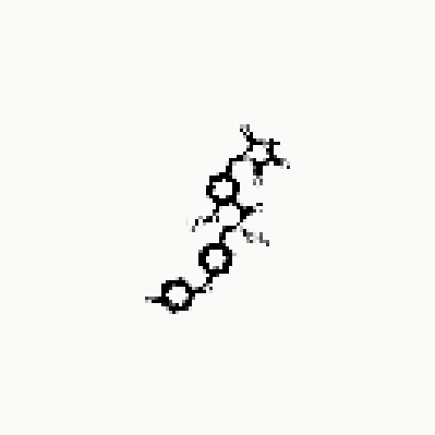 COc1ccc(CN2C(=O)NC(=O)C2=O)cc1C(=O)N(C)Cc1ccc(Oc2ccc(F)cc2)cc1